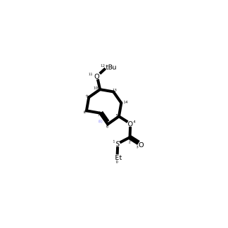 CCSC(=O)OC1/C=C/CCC(OC(C)(C)C)CC1